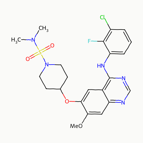 COc1cc2ncnc(Nc3cccc(Cl)c3F)c2cc1OC1CCN(S(=O)(=O)N(C)C)CC1